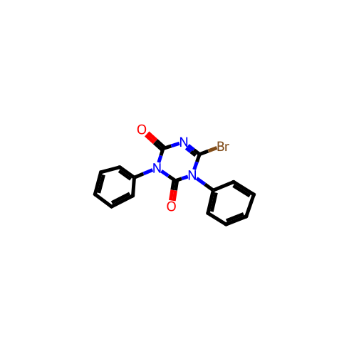 O=c1nc(Br)n(-c2ccccc2)c(=O)n1-c1ccccc1